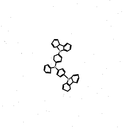 C1=CC2C3=C(C=CCC3)N(c3ccc(N(C4=CC=C(N5c6ccccc6C6C=CC=CC65)CC4)c4ccccc4)cc3)C2C=C1